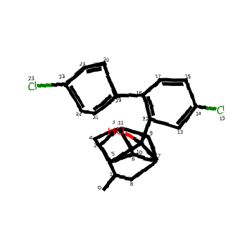 CC1CC23CC4C2C(C1)(C3)C4(O)c1cc(Cl)ccc1-c1ccc(Cl)cc1